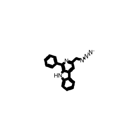 [N-]=[N+]=NCc1cc2c([nH]c3ccccc32)c(-c2ccccc2)n1